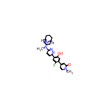 CN(c1ccc(-c2cc(F)c(-c3ccn(C)c(=O)c3)cc2O)nn1)[C@H]1C[C@H]2CCC[C@@H](C1)N2